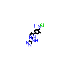 Cc1cc(-c2ccnc(Nc3cnn(C)c3)n2)ccc1CNCl